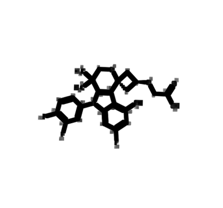 CC1(C)CO[C@]2(C[C@H](OCC(=O)O)C2)c2c1n(-c1ccc(F)c(F)c1)c1cc(F)cc(O)c12